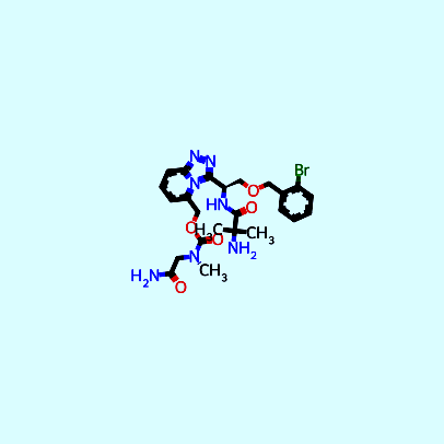 CN(CC(N)=O)C(=O)OCc1cccc2nnc([C@@H](COCc3ccccc3Br)NC(=O)C(C)(C)N)n12